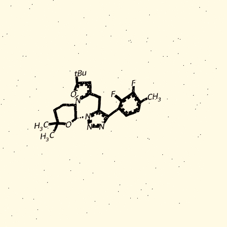 Cc1ccc(-c2nnn([C@H]3CCCC(C)(C)O3)c2Cc2cc(C(C)(C)C)on2)c(F)c1F